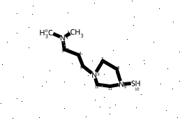 CN(C)CCCN1CCN(S)CC1